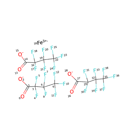 O=C([O-])C(F)(F)C(F)(F)C(F)(F)F.O=C([O-])C(F)(F)C(F)(F)C(F)(F)F.O=C([O-])C(F)(F)C(F)(F)C(F)(F)F.[Fe+3]